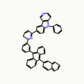 C1=CC(c2ccc3c(c2)c2cnccc2n3-c2ccccc2)=NC(c2cccc(-c3c4ccccc4c(-c4ccc5ccccc5c4)c4ccccc34)c2)C1